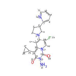 Cc1c(N2CCC(c3ccccn3)C2)c(F)cn2c(=O)n(N)c(=O)c(C3CC3)c12